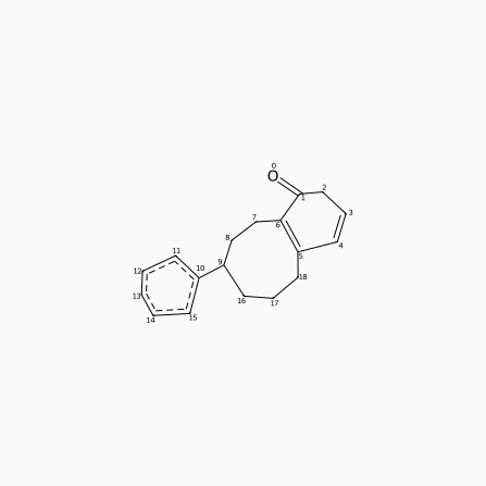 O=C1CC=CC2=C1CCC(c1ccccc1)CCC2